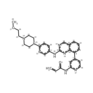 C=CC(=O)Nc1cc(-c2cccc3cnc(Nc4ccc(N5CCN(CCOC)CC5)nc4)nc23)ccn1